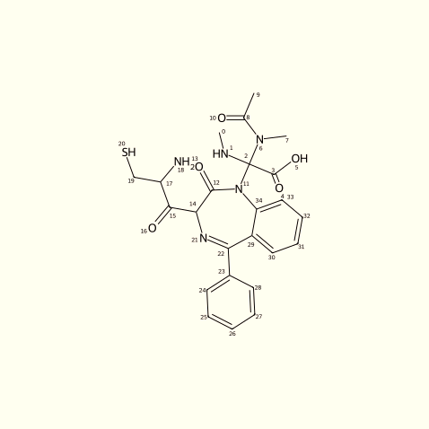 CNC(C(=O)O)(N(C)C(C)=O)N1C(=O)C(C(=O)C(N)CS)N=C(c2ccccc2)c2ccccc21